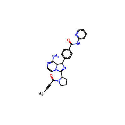 CC#CC(=O)N1CCCC1C1=NC(c2ccc(C(=O)Nc3ccccn3)cc2)C2C(N)=NC=CN12